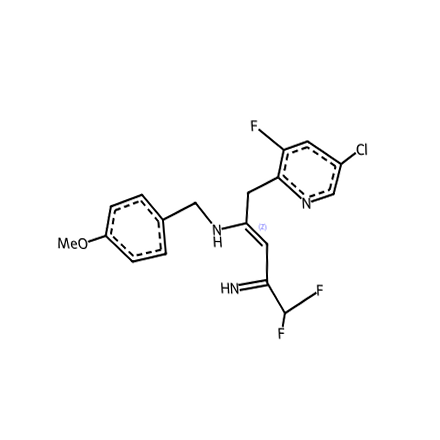 COc1ccc(CN/C(=C\C(=N)C(F)F)Cc2ncc(Cl)cc2F)cc1